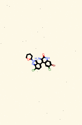 Nc1c(-c2ccc(Cl)c3nn(C4CCCCO4)cc23)c2cc(Cl)c(Br)cc2[nH]c1=O